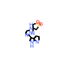 N#CC1(Nc2ccnc(-c3c[nH]c4ncccc34)n2)CCS(=O)(=O)CC1